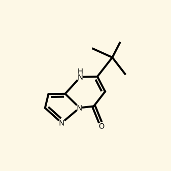 CC(C)(C)c1cc(=O)n2nccc2[nH]1